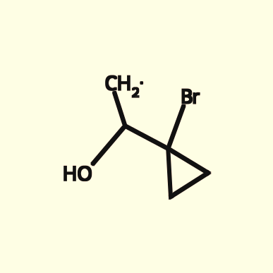 [CH2]C(O)C1(Br)CC1